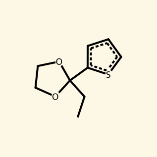 CCC1(c2cccs2)OCCO1